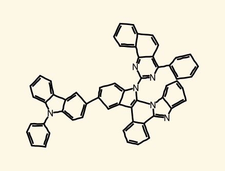 c1ccc(-c2nc(-n3c4ccc(-c5ccc6c(c5)c5ccccc5n6-c5ccccc5)cc4c4c5ccccc5c5nc6ccccc6n5c43)nc3c2ccc2ccccc23)cc1